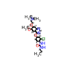 CCCNC(=O)Nc1ccc(Oc2ncnc3cc(OCCN(C)C)c(OC)cc23)cc1Cl